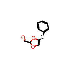 O=CC1OC=C(Cc2ccccc2)O1